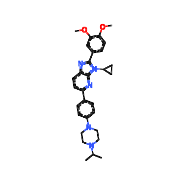 COc1ccc(-c2nc3ccc(-c4ccc(N5CCN(C(C)C)CC5)cc4)nc3n2C2CC2)cc1OC